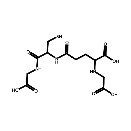 O=C(O)CNC(=O)C(CS)NC(=O)CCC(NCC(=O)O)C(=O)O